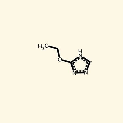 CCOc1nn[c][nH]1